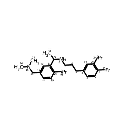 CC(C)c1ccc(CCCNC(C)c2cc(CN(C)C)ccc2C(C)C)cc1C(C)C